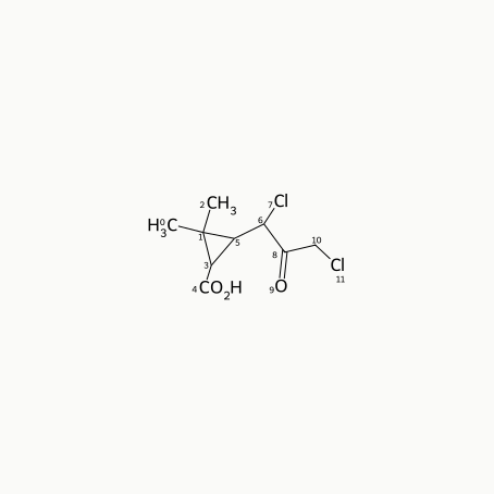 CC1(C)C(C(=O)O)C1C(Cl)C(=O)CCl